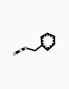 O=C=NCc1cc[c]cc1